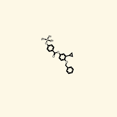 CC(C)[Si](Oc1ccc(C(=O)Oc2ccc(OCc3ccccc3)c(C3CC3)c2)cc1)(C(C)C)C(C)C